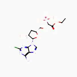 CCOC(=O)[C@H](OC[C@@H]1C[C@@H](O)[C@H](n2cnc3c(N)nc(Cl)nc32)O1)P(=O)(O)O